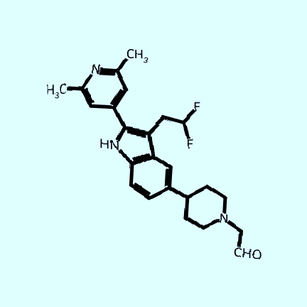 Cc1cc(-c2[nH]c3ccc(C4CCN(CC=O)CC4)cc3c2CC(F)F)cc(C)n1